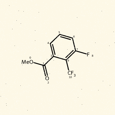 COC(=O)c1cccc(F)c1C(F)(F)F